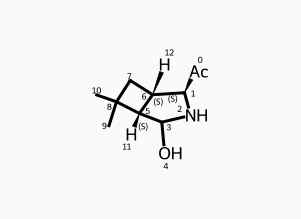 CC(=O)[C@H]1NC(O)[C@H]2[C@@H]1CC2(C)C